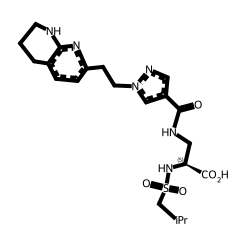 CC(C)CS(=O)(=O)N[C@@H](CNC(=O)c1cnn(CCc2ccc3c(n2)NCCC3)c1)C(=O)O